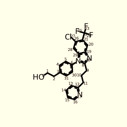 OCCc1ccc(-n2c(CCCc3ccccn3)nc3cc(C(F)(F)F)c(Cl)cc32)cc1